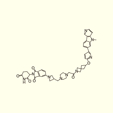 Cn1c2ccncc2c2ccc(-c3ccc(OC4CC5(C4)CN(C(=O)CN4CCN(CC6CN(c7ccc8c(c7)C(=O)N(C7CCC(=O)NC7=O)C8=O)C6)CC4)C5)nc3)cc21